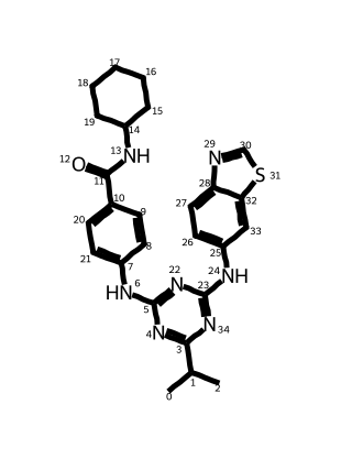 CC(C)c1nc(Nc2ccc(C(=O)NC3CCCCC3)cc2)nc(Nc2ccc3ncsc3c2)n1